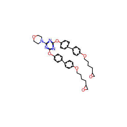 c1cc(-c2ccc(Oc3nc(Oc4ccc(-c5ccc(OCCCCC6CO6)cc5)cc4)nc(N4CCOCC4)n3)cc2)ccc1OCCCCC1CO1